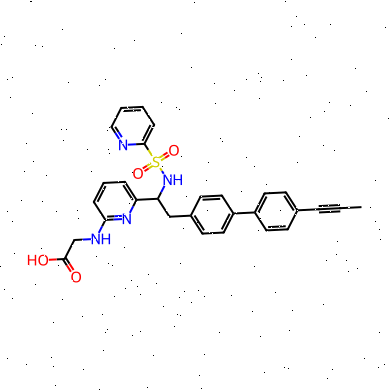 CC#Cc1ccc(-c2ccc(CC(NS(=O)(=O)c3ccccn3)c3cccc(NCC(=O)O)n3)cc2)cc1